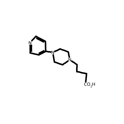 O=C(O)CCCN1CCN(c2ccncc2)CC1